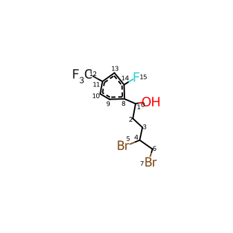 OC(CCC(Br)CBr)c1ccc(C(F)(F)F)cc1F